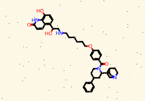 O=C(c1ccc(OCCCCCCNCC(O)c2ccc(O)c3[nH]c(=O)ccc23)cc1)N1CCC(c2ccccc2)CC1C1CN2CCC1CC2